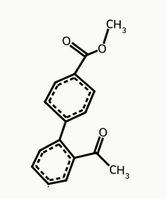 COC(=O)c1ccc(-c2cc[c]cc2C(C)=O)cc1